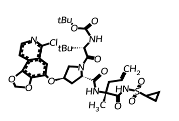 C=CC[C@@](C)(NC(=O)[C@@H]1C[C@@H](Oc2cc3c(Cl)nccc3c3c2OCO3)CN1C(=O)[C@@H](NC(=O)OC(C)(C)C)C(C)(C)C)C(=O)NS(=O)(=O)C1CC1